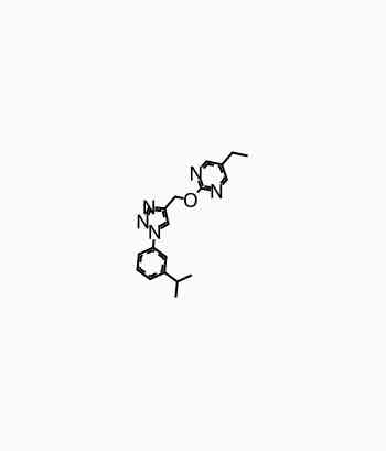 CCc1cnc(OCc2cn(-c3cccc(C(C)C)c3)nn2)nc1